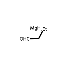 CCCC=O.[MgH2]